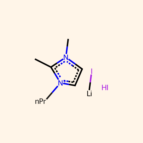 CCC[n+]1ccn(C)c1C.I.[Li][I]